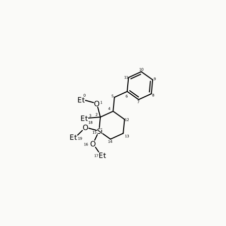 CCOC1(CC)C(Cc2ccccc2)CCC[Si]1(OCC)OCC